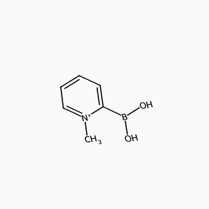 C[n+]1ccccc1B(O)O